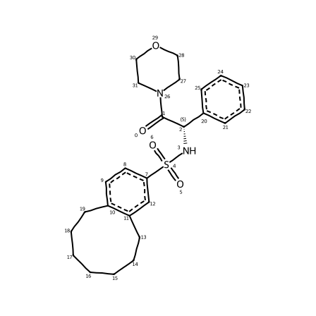 O=C([C@@H](NS(=O)(=O)c1ccc2c(c1)CCCCCCC2)c1ccccc1)N1CCOCC1